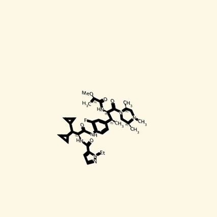 CCn1nccc1C(=O)N[C@H](C(=O)Nc1ccc([C@H](C)[C@@H](NC(=O)[C@H](C)OC)C(=O)N2C[C@@H](C)N(C)C[C@H]2C)cc1F)C(C1CC1)C1CC1